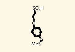 CSOc1ccc(OCCCS(=O)(=O)O)cc1